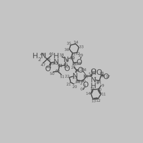 CO[C@H]([C@@H](C)C(=O)N[C@@H](Cc1ccccc1)C(=O)O)[C@@H]1CCCN1C(=O)C[C@@H](OC)[C@H](C1CCCCC1)N(C)C(=O)[C@@H](NC(=O)C(C)(C)N)C(C)C